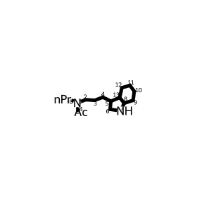 CCCN(CCCC1CNC2CCCCC12)C(C)=O